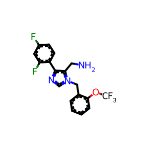 NCc1c(-c2ccc(F)cc2F)ncn1Cc1ccccc1OC(F)(F)F